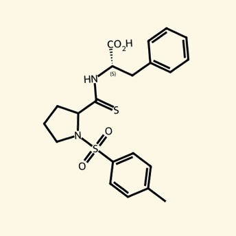 Cc1ccc(S(=O)(=O)N2CCCC2C(=S)N[C@@H](Cc2ccccc2)C(=O)O)cc1